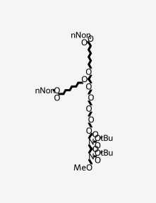 CCCCCCCCCOC(=O)CCCCCCCOCC(COCCOCCOCCOCCOC(=O)CN(CC(=O)CN(CCOC)C(=O)OC(C)(C)C)C(=O)OC(C)(C)C)OCCCCCCCC(=O)OCCCCCCCCC